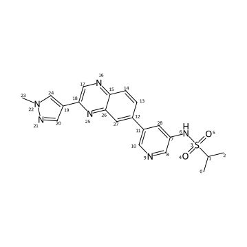 CC(C)S(=O)(=O)Nc1cncc(-c2ccc3ncc(-c4cnn(C)c4)nc3c2)c1